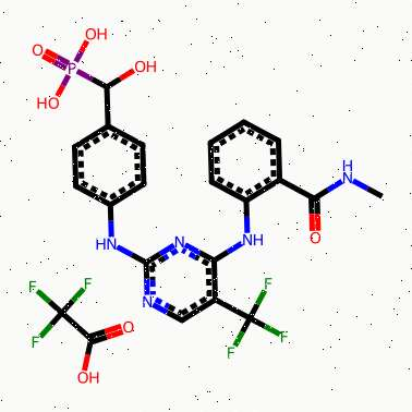 CNC(=O)c1ccccc1Nc1nc(Nc2ccc(C(O)P(=O)(O)O)cc2)ncc1C(F)(F)F.O=C(O)C(F)(F)F